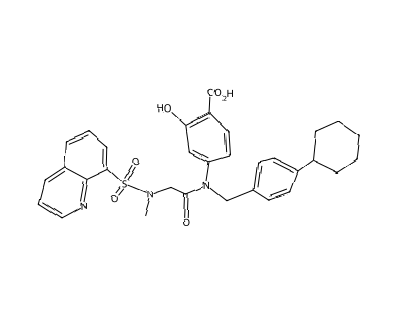 CN(CC(=O)N(Cc1ccc(C2CCCCC2)cc1)c1ccc(C(=O)O)c(O)c1)S(=O)(=O)c1cccc2cccnc12